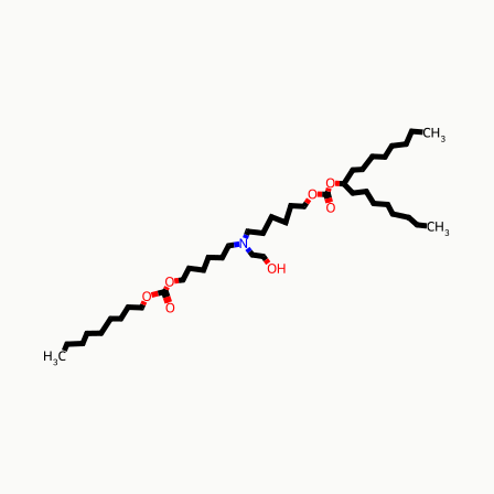 CCCCCCCCCOC(=O)OCCCCCCN(CCO)CCCCCCOC(=O)OC(CCCCCCCC)CCCCCCCC